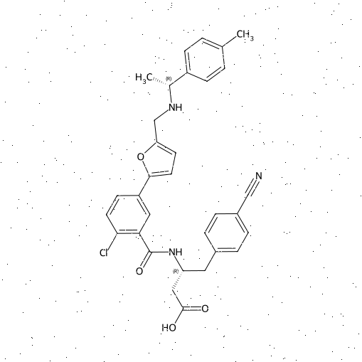 Cc1ccc([C@@H](C)NCc2ccc(-c3ccc(Cl)c(C(=O)N[C@@H](CC(=O)O)Cc4ccc(C#N)cc4)c3)o2)cc1